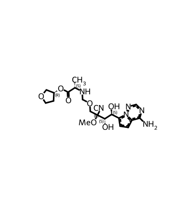 CO[C@](C#N)(COCN[C@@H](C)C(=O)O[C@@H]1CCOC1)[C@@H](O)[C@@H](O)c1ccc2c(N)ncnn12